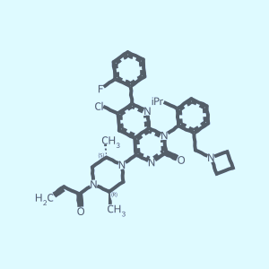 C=CC(=O)N1C[C@H](C)N(c2nc(=O)n(-c3c(CN4CCC4)cccc3C(C)C)c3nc(-c4ccccc4F)c(Cl)cc23)C[C@H]1C